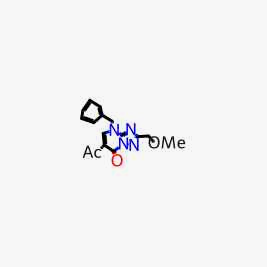 COCc1nc2n(Cc3ccccc3)cc(C(C)=O)c(=O)n2n1